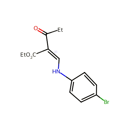 CCOC(=O)/C(=C\Nc1ccc(Br)cc1)C(=O)CC